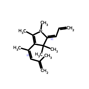 C=C/C=C1\N(C)C(C)=C(/C(C)=C\C(=C)C)C1(C)C